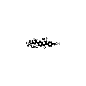 C#Cc1ccc2c(c1)[nH]c1c2c(=O)c2cc(OC)c(-c3cncc(OS(=O)(=O)F)c3)cc2n1CC